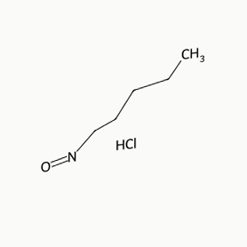 CCCCCN=O.Cl